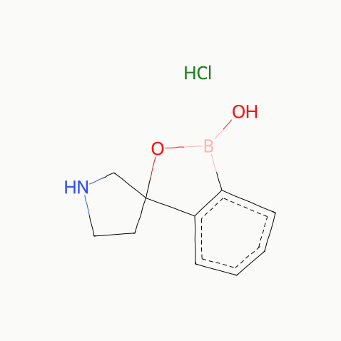 Cl.OB1OC2(CCNC2)c2ccccc21